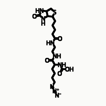 [N-]=[N+]=NCCCCC(NC(=O)O)C(=O)NCCNC(=O)CCCCC1SCC2NC(=O)NC21